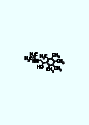 Cc1c(C)c(C)c(C(O)CNC(C)C)c(C)c1C